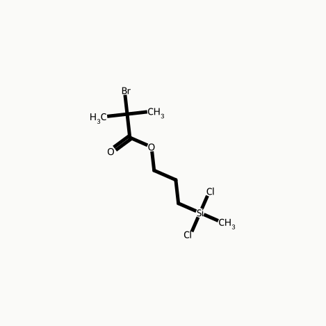 CC(C)(Br)C(=O)OCCC[Si](C)(Cl)Cl